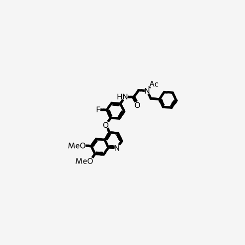 COc1cc2nccc(Oc3ccc(NC(=O)CN(CC4=CC=CCC4)C(C)=O)cc3F)c2cc1OC